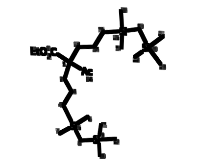 CCOC(=O)C(CCC[Si](C)(C)C[Si](C)(C)C)(CCC[Si](C)(C)C[Si](C)(C)C)C(C)=O